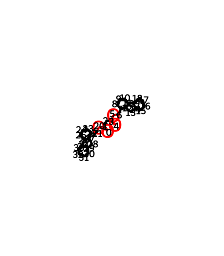 O=C(CC(=O)OCc1cccc2c1Cc1ccccc1-2)OCc1cccc2c1Cc1ccccc1-2